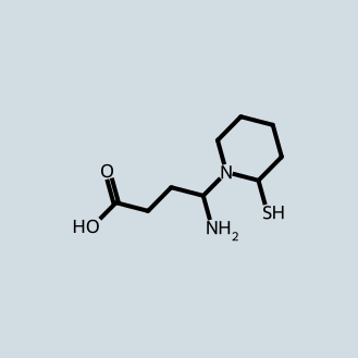 NC(CCC(=O)O)N1CCCCC1S